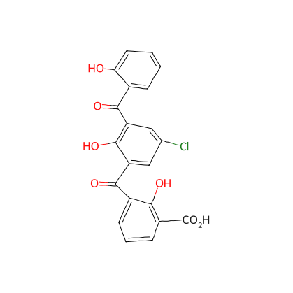 O=C(O)c1cccc(C(=O)c2cc(Cl)cc(C(=O)c3ccccc3O)c2O)c1O